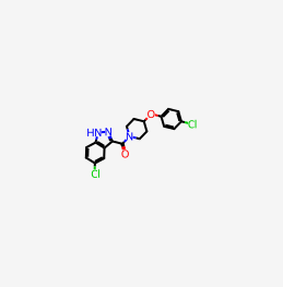 O=C(c1n[nH]c2ccc(Cl)cc12)N1CCC(Oc2ccc(Cl)cc2)CC1